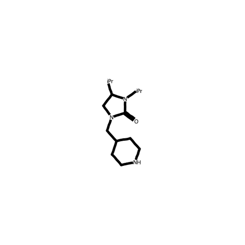 CC(C)C1CN(CC2CCNCC2)C(=O)N1C(C)C